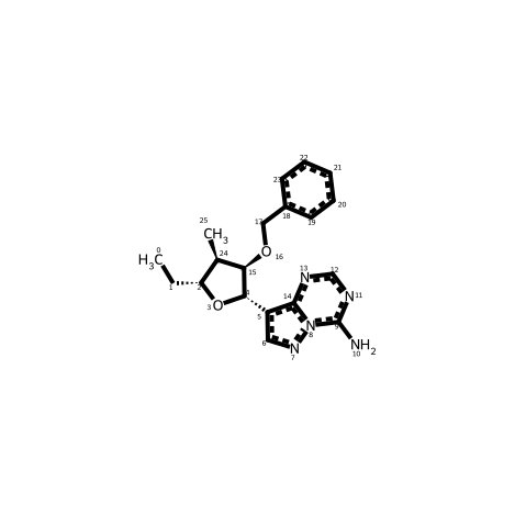 CC[C@H]1O[C@@H](c2cnn3c(N)ncnc23)[C@H](OCc2ccccc2)[C@@H]1C